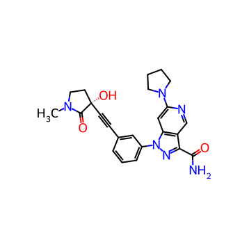 CN1CC[C@@](O)(C#Cc2cccc(-n3nc(C(N)=O)c4cnc(N5CCCC5)cc43)c2)C1=O